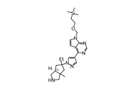 CCC1(n2cc(-c3ncnc4c3ccn4COCC[Si](C)(C)C)cn2)C[C@@H]2CNCC2(C)C1